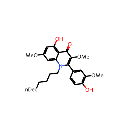 CCCCCCCCCCCCCCn1c(-c2ccc(O)c(OC)c2)c(OC)c(=O)c2c(O)cc(OC)cc21